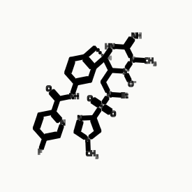 CCN(CC1[S+]([O-])N(C)C(=N)N[C@@]12Cc1ccc(NC(=O)c3ccc(F)cn3)cc12)S(=O)(=O)c1cn(C)cn1